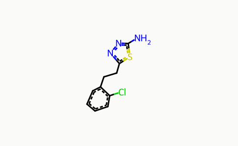 Nc1nnc(CCc2ccccc2Cl)s1